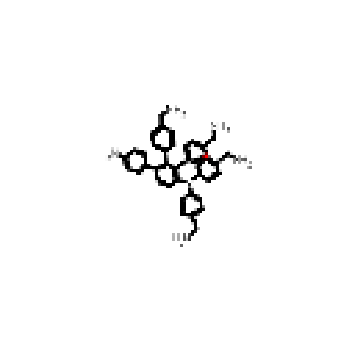 NCc1ccc(-c2c(-c3ccc(N)cc3)ccc(N(c3ccc(CN)cc3)c3ccc(CN)cc3)c2-c2ccc(CN)cc2)cc1